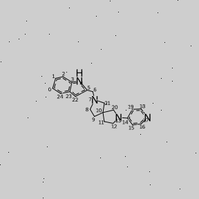 c1ccc2[nH]c(CN3CCC4(CCN(c5ccncc5)C4)C3)cc2c1